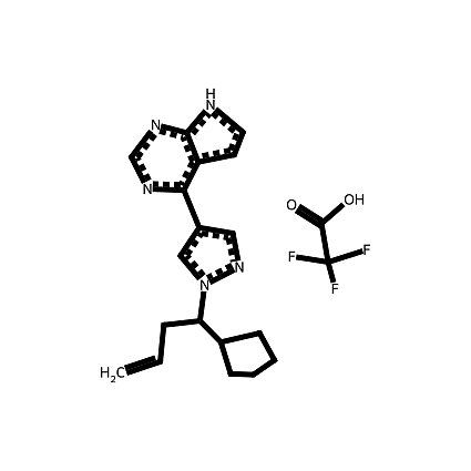 C=CCC(C1CCCC1)n1cc(-c2ncnc3[nH]ccc23)cn1.O=C(O)C(F)(F)F